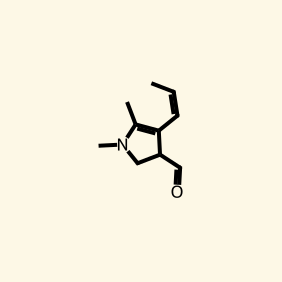 C/C=C\C1=C(C)N(C)CC1C=O